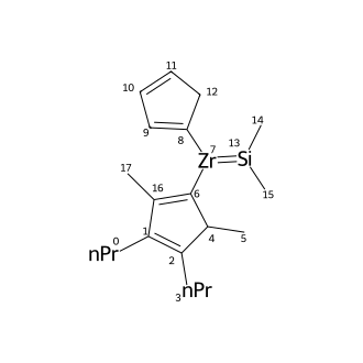 CCCC1=C(CCC)C(C)[C]([Zr]([C]2=CC=CC2)=[Si](C)C)=C1C